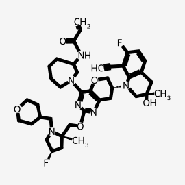 C#Cc1c(F)ccc2c1N([C@H]1COc3c(nc(OC[C@]4(C)C[C@@H](F)CN4CC4CCOCC4)nc3N3CCCCC(NC(=O)C=C)C3)C1)C[C@@](C)(O)C2